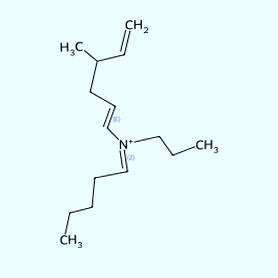 C=CC(C)C/C=C/[N+](=C\CCCC)CCC